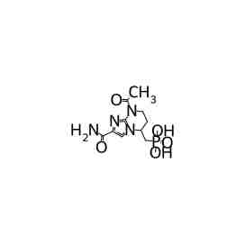 CC(=O)N1CCC(CP(=O)(O)O)n2cc(C(N)=O)nc21